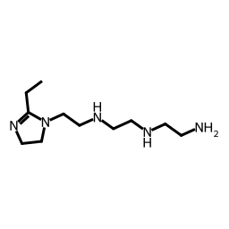 CCC1=NCCN1CCNCCNCCN